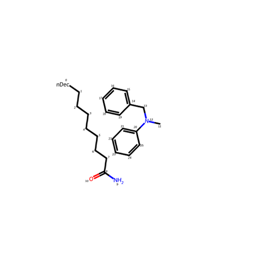 CCCCCCCCCCCCCCCCCC(N)=O.CN(Cc1ccccc1)c1ccccc1